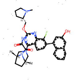 CN1CCC[C@H]1COc1nc(N2C[C@H]3CC[C@@H](C2)N3C(=O)C(N)=O)c2ccc(-c3cc(O)cc4ccccc34)c(F)c2n1